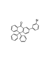 O=C1c2ccccc2C(c2ccccc2)(c2ccccc2)c2ccc(-c3cccc(Br)c3)cc21